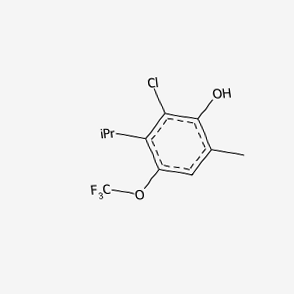 Cc1cc(OC(F)(F)F)c(C(C)C)c(Cl)c1O